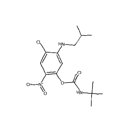 CC(C)CNc1cc(OC(=O)NC(C)(C)C)c([N+](=O)[O-])cc1Cl